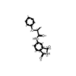 CC(Oc1ccccc1)C(=O)Nc1ccc2c(c1)C(=O)NC2=O